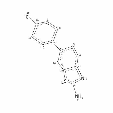 Nc1nc2ccc(-c3ccc(Cl)cc3)nc2s1